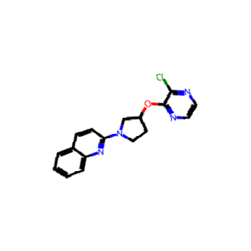 Clc1nccnc1OC1CCN(c2ccc3ccccc3n2)C1